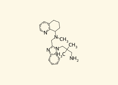 CN(Cc1nc2ccccc2n1CC(C)(C)CN)C1CCCc2cccnc21